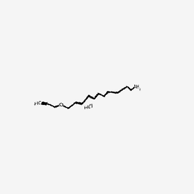 C#CCOCCCCCCCCCCCN.Cl